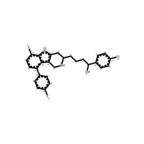 OC(CCCC1Cc2[nH]c3c(F)ccc(-c4ccc(F)cc4)c3c2CN1)c1ccc(Cl)cc1